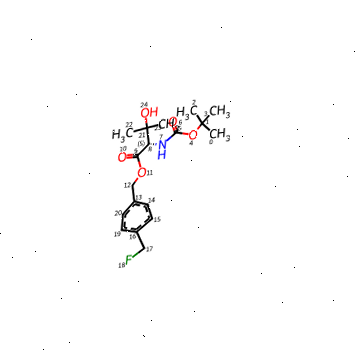 CC(C)(C)OC(=O)N[C@H](C(=O)OCc1ccc(CF)cc1)C(C)(C)O